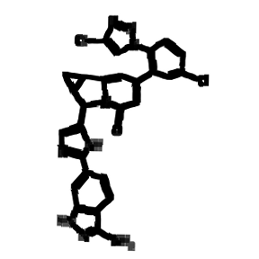 Nc1n[nH]c2cc(-c3ncc(C4C5CC5c5cc(-c6cc(Cl)ccc6-n6cc(Cl)nn6)cc(=O)n54)[nH]3)ccc12